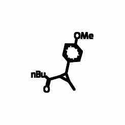 CCCCC(=O)C1C(C)C1c1ccc(OC)cc1